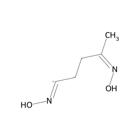 CC(CC[C]=NO)=NO